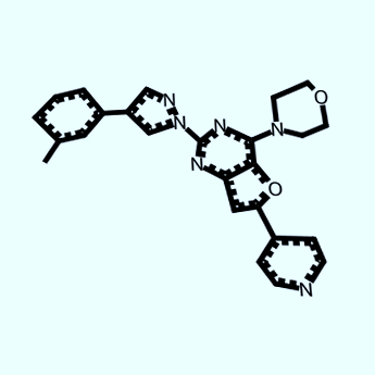 Cc1cccc(-c2cnn(-c3nc(N4CCOCC4)c4oc(-c5ccncc5)cc4n3)c2)c1